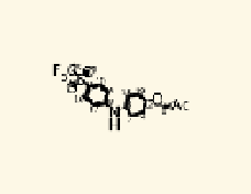 CC(=O)CO[C@H]1CC[C@H](Nc2ccc(S(=O)(=O)C(F)(F)F)cc2)CC1